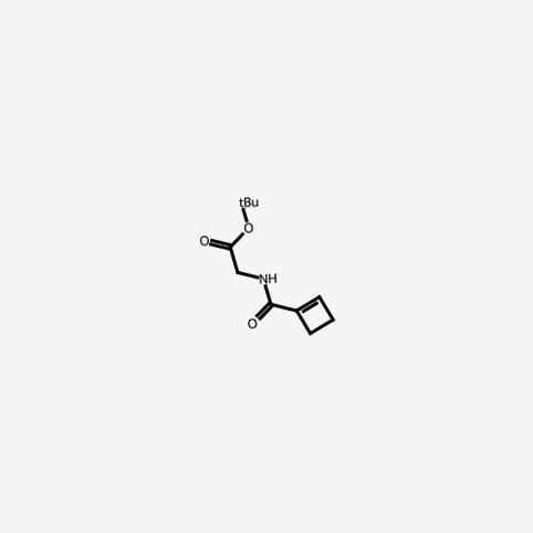 CC(C)(C)OC(=O)CNC(=O)C1=CCC1